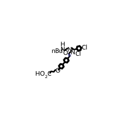 CCCCNC(=O)Cn1cc(-c2ccc(Cl)cc2Cl)nc1/C=C/c1ccc(-c2ccc(OCCCC(=O)O)cc2)cc1